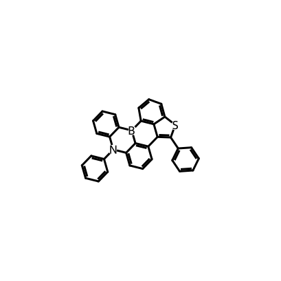 c1ccc(-c2sc3cccc4c3c2-c2cccc3c2B4c2ccccc2N3c2ccccc2)cc1